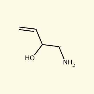 C=CC(O)[CH]N